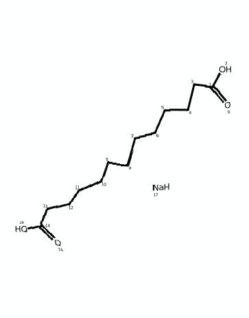 O=C(O)CCCCCCCCCCCC(=O)O.[NaH]